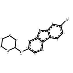 Brc1ccc2c(c1)sc1cc(OC3CCCCO3)ccc12